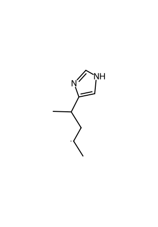 C[CH]CC(C)c1c[nH]cn1